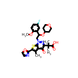 COc1ccc(F)cc1C(Cn1nc(C(C)(C)C(=O)O)c(=O)c2c(C)c(-c3ncco3)sc21)OC1CCOCC1